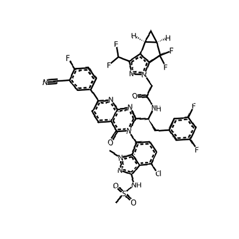 Cn1nc(NS(C)(=O)=O)c2c(Cl)ccc(-n3c([C@H](Cc4cc(F)cc(F)c4)NC(=O)Cn4nc(C(F)F)c5c4C(F)(F)[C@@H]4C[C@H]54)nc4nc(-c5ccc(F)c(C#N)c5)ccc4c3=O)c21